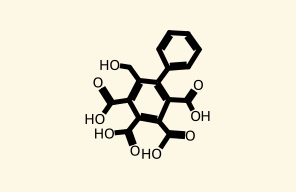 O=C(O)c1c(CO)c(-c2ccccc2)c(C(=O)O)c(C(=O)O)c1C(=O)O